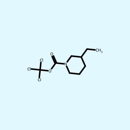 CCC1CCCN(C(=O)OC(Cl)(Cl)Cl)C1